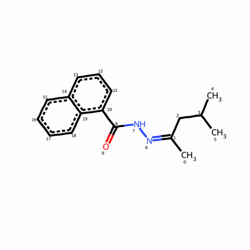 CC(CC(C)C)=NNC(=O)c1cccc2ccccc12